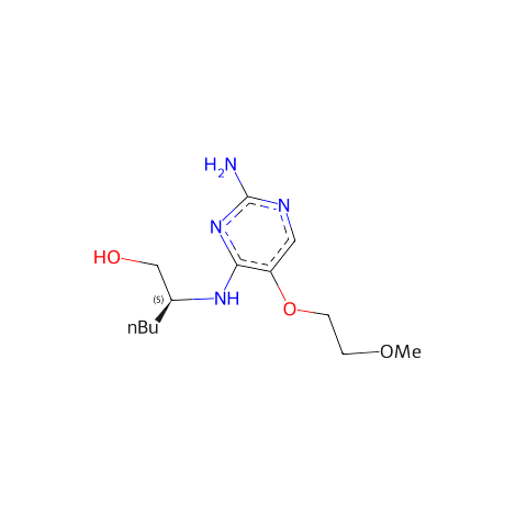 CCCC[C@@H](CO)Nc1nc(N)ncc1OCCOC